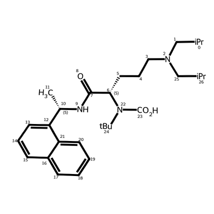 CC(C)CN(CCC[C@@H](C(=O)N[C@@H](C)c1cccc2ccccc12)N(C(=O)O)C(C)(C)C)CC(C)C